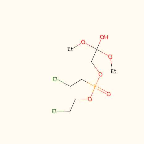 CCOC(O)(COP(=O)(CCCl)OCCCl)OCC